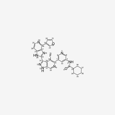 O=C(Nc1cncc(-c2ncc3[nH]nc(-c4nc5c(-c6ccoc6)nccc5[nH]4)c3c2F)c1)C1CCCCC1